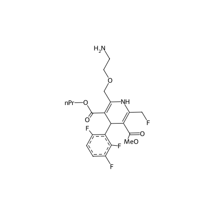 CCCOC(=O)C1=C(COCCN)NC(CF)=C(C(=O)OC)C1c1c(F)ccc(F)c1F